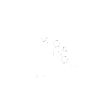 CCCCCCCCCCCCCCOc1cc(NC(=O)c2cccc(C[n+]3ccsc3C)c2)ccc1C(C)(C)C.[Br-]